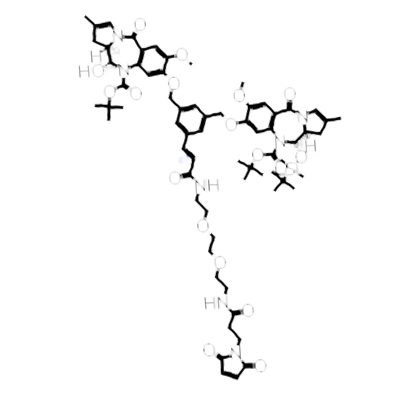 COc1cc2c(cc1OCc1cc(/C=C/C(=O)NCCOCCOCCNC(=O)CCN3C(=O)C=CC3=O)cc(COc3cc4c(cc3OC)C(=O)N3C=C(C)C[C@H]3[C@H](O[Si](C)(C)C(C)(C)C)N4C(=O)OC(C)(C)C)c1)N(C(=O)OC(C)(C)C)[C@@H](O)[C@@H]1CC(C)=CN1C2=O